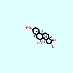 C[C@]12CC[C@@H](O)C[C@@H]1C[C@H](O)[C@@H]1[C@@H]2CC[C@]2(C)C(=O)[C@H](Br)C[C@@H]12